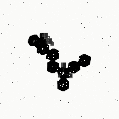 CC1(C)C2=CC(C3=CC(c4cccc(C5N=C(C6C=CC=CC6)NC(c6ccc(-c7ccccc7)cc6)N5)c4)=CCC3)CC=C2C2=C1C=CCC2